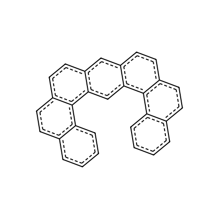 c1ccc2c(c1)ccc1ccc3cc4ccc5ccc6ccccc6c5c4cc3c12